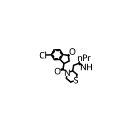 CCCC(=N)CC1CSCCN1C(=O)C1CC(=O)c2ccc(Cl)cc21